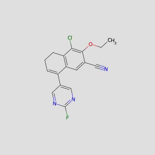 CCOc1c(C#N)cc2c(c1Cl)CCC=C2c1cnc(F)nc1